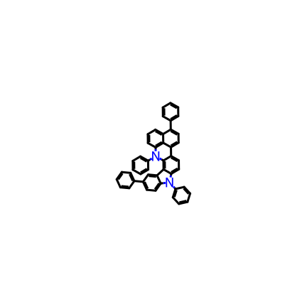 c1ccc(-c2ccc3c(c2)c2c4c(ccc2n3-c2ccccc2)-c2ccc(-c3ccccc3)c3cccc(c23)N4c2ccccc2)cc1